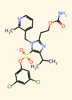 Cc1ncccc1Cn1c(CCOC(N)=O)nc(C(C)C)c1S(=O)(=O)Oc1cc(Cl)cc(Cl)c1